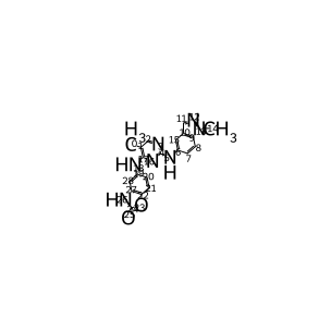 Cc1cnc(Nc2ccc3c(cnn3C)c2)nc1Nc1ccc2oc(=O)[nH]c2c1